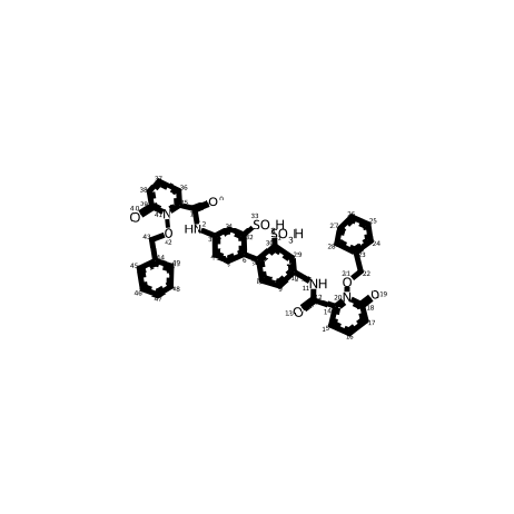 O=C(Nc1ccc(-c2ccc(NC(=O)c3cccc(=O)n3OCc3ccccc3)cc2S(=O)(=O)O)c(S(=O)(=O)O)c1)c1cccc(=O)n1OCc1ccccc1